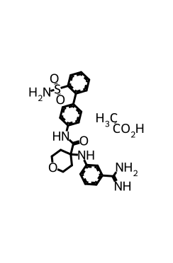 CC(=O)O.N=C(N)c1cccc(NC2(C(=O)Nc3ccc(-c4ccccc4S(N)(=O)=O)cc3)CCOCC2)c1